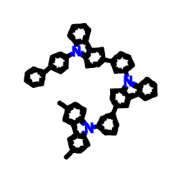 Cc1ccc2c(c1)c1cc(C)ccc1n2-c1cccc(-c2ccc3c(c2)c2ccccc2n3-c2cccc(-c3ccc4c(c3)c3ccccc3n4-c3ccc(-c4ccccc4)cc3)c2)c1